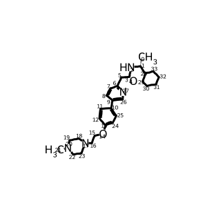 C[C@@H](NC(=O)Cc1ccc(-c2ccc(OCCN3CCN(C)CC3)cc2)cn1)C1CCCCC1